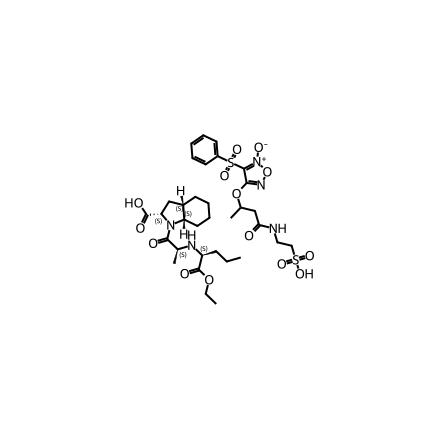 CC(CC(=O)NCCS(=O)(=O)O)Oc1no[n+]([O-])c1S(=O)(=O)c1ccccc1.CCC[C@H](N[C@@H](C)C(=O)N1[C@H](C(=O)O)C[C@@H]2CCCC[C@@H]21)C(=O)OCC